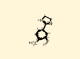 Cc1ccc(C2=NCC[N]2)cc1F